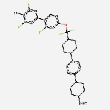 CCCCCC1CCC(c2ccc(C3CCC(C(F)(F)Oc4ccc(-c5cc(F)c(C#N)c(F)c5)c(F)c4)CC3)cc2)CC1